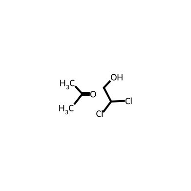 CC(C)=O.OCC(Cl)Cl